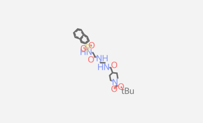 CC(C)(C)OC(=O)N1CCC(C(=O)NCCNC(=O)CNS(=O)(=O)c2ccc3ccccc3c2)CC1